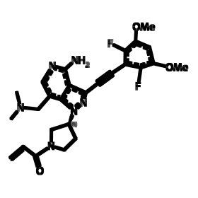 C=CC(=O)N1CC[C@H](n2nc(C#Cc3c(F)c(OC)cc(OC)c3F)c3c(N)ncc(CN(C)C)c32)C1